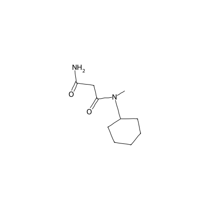 CN(C(=O)CC(N)=O)C1CCCCC1